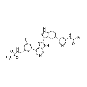 CC(C)C(=O)Nc1cncc(-c2ccc3[nH]nc(-c4nc5c(-c6cc(F)cc(CNS(C)(=O)=O)c6)cncc5[nH]4)c3c2)c1